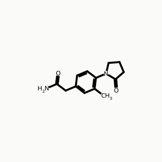 Cc1cc(CC(N)=O)ccc1N1CCCC1=O